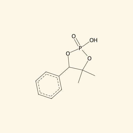 CC1(C)OP(=O)(O)OC1c1ccccc1